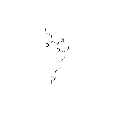 C/C=C/CCCCC(CC)OC(=O)C(=O)CCC